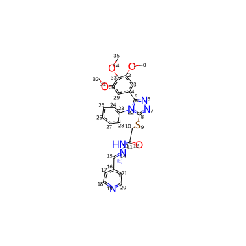 COc1cc(-c2nnc(SCC(=O)N/N=C/c3ccncc3)n2-c2ccccc2)cc(OC)c1OC